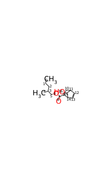 CCCC(C)COC(=O)C1CC2C=CC1C2O